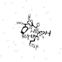 CC(C)(CO)[C@@H](O)C(=O)NCCC(=O)O.O=C(N[C@H](CO)[C@H](O)c1ccc([N+](=O)[O-])cc1)C(Cl)Cl